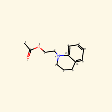 CC(=O)OCCN1CCCc2c[c]ccc21